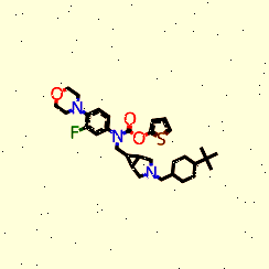 CC(C)(C)C1CCC(CN2CC3C(C2)C3CN(C(=O)Oc2cccs2)c2ccc(N3CCOCC3)c(F)c2)CC1